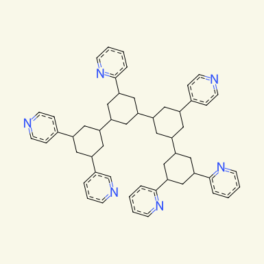 c1ccc(C2CC(c3ccccn3)CC(C3CC(c4ccncc4)CC(C4CC(c5ccccn5)CC(C5CC(c6ccncc6)CC(c6cccnc6)C5)C4)C3)C2)nc1